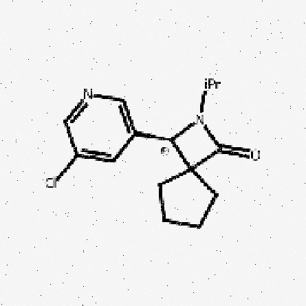 CC(C)N1C(=O)C2(CCCC2)[C@H]1c1cncc(Cl)c1